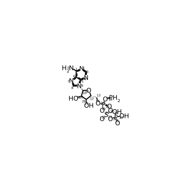 Nc1ncnc2c1ncn2[C@@H]1O[C@H](COP(=O)(OP)OS(=O)(=O)OP(=O)(O)O)[C@@H](O)[C@H]1O